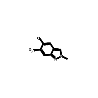 Cn1cc2cc(Cl)c([N+](=O)[O-])cc2n1